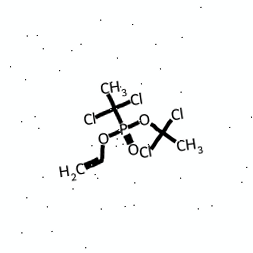 C=COP(=O)(OC(C)(Cl)Cl)C(C)(Cl)Cl